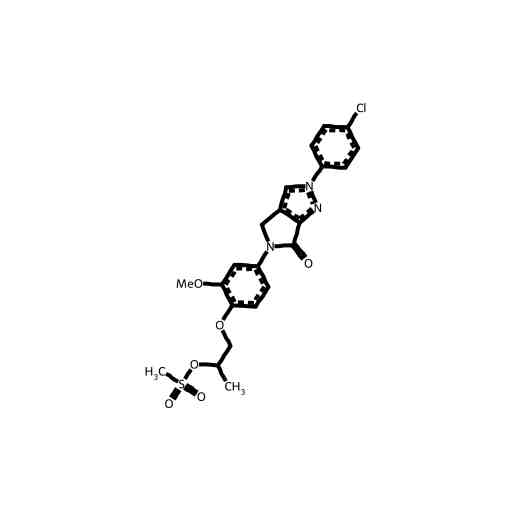 COc1cc(N2Cc3cn(-c4ccc(Cl)cc4)nc3C2=O)ccc1OCC(C)OS(C)(=O)=O